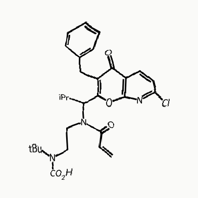 C=CC(=O)N(CCN(C(=O)O)C(C)(C)C)C(c1oc2nc(Cl)ccc2c(=O)c1Cc1ccccc1)C(C)C